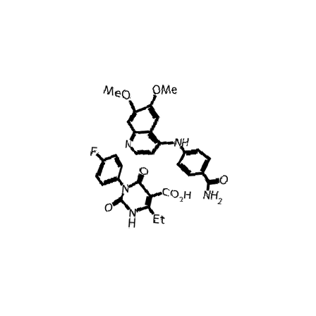 CCc1[nH]c(=O)n(-c2ccc(F)cc2)c(=O)c1C(=O)O.COc1cc2nccc(Nc3ccc(C(N)=O)cc3)c2cc1OC